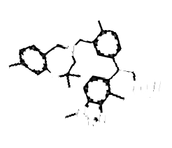 Cc1ccc2c(c1)OC(C)(C)CN(Cc1cc([C@@H](CC(=O)O)c3ccc4c(nnn4C)c3C)ccc1C)C2